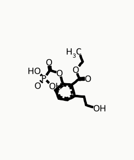 CCOC(=O)c1c(CCO)cccc1OC(=O)P(=O)(O)O